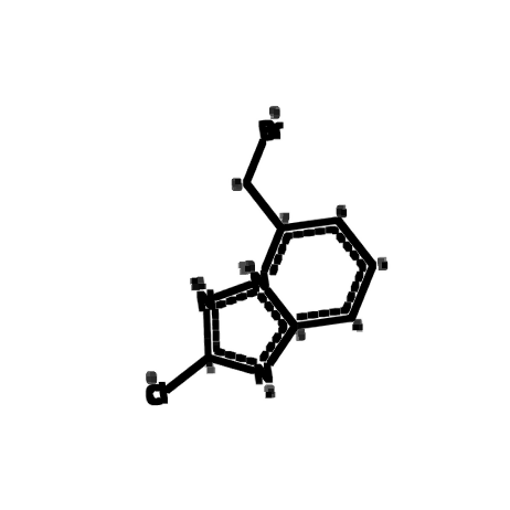 Clc1nc2cccc(CBr)n2n1